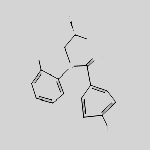 C=C(c1ccc(N)cc1)N(C[C@H](C)C(C)=O)c1ccccc1C